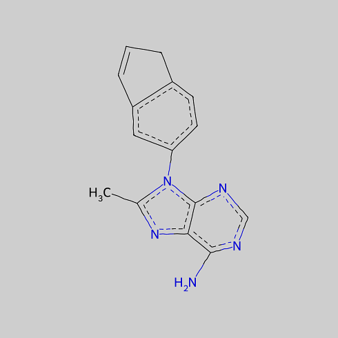 Cc1nc2c(N)ncnc2n1-c1ccc2c(c1)C=CC2